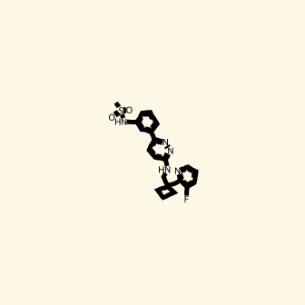 CS(=O)(=O)Nc1cccc(-c2ccc(NCC3(c4ncccc4F)CCC3)nn2)c1